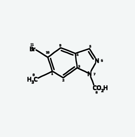 Cc1cc2c(cnn2C(=O)O)cc1Br